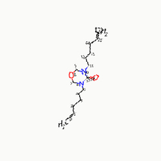 C=CCCCCN1COCN(CCCCC=C)C1=O